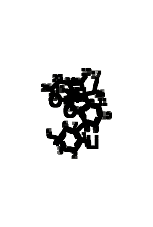 [Li][c]1ccc(C)cc1-c1cccc([Si](CC)(CC)CC)c1OC1CCCCO1